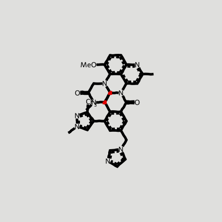 COc1ccc2nc(C)cc(N3CCc4c(cc(Cn5ccnc5)cc4-c4cn(C)nc4C(F)(F)F)C3=O)c2c1N1CCN(C)C(=O)C1